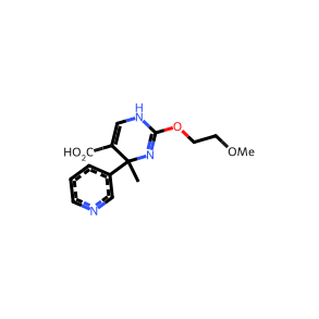 COCCOC1=NC(C)(c2cccnc2)C(C(=O)O)=CN1